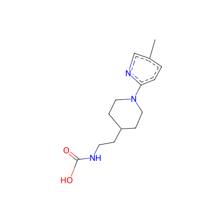 Cc1ccc(N2CCC(CCNC(=O)O)CC2)nc1